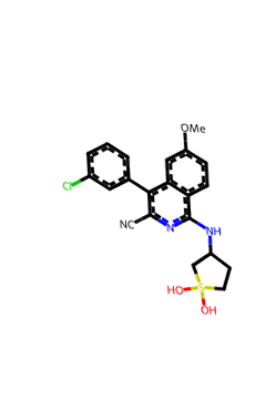 COc1ccc2c(NC3CCS(O)(O)C3)nc(C#N)c(-c3cccc(Cl)c3)c2c1